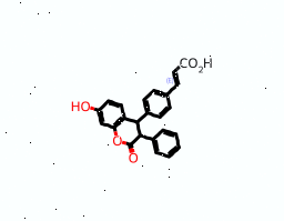 O=C(O)/C=C/c1ccc(C2c3ccc(O)cc3OC(=O)C2c2ccccc2)cc1